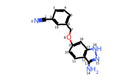 N#Cc1cccc(COc2ccc3c(N)n[nH]c3c2)c1